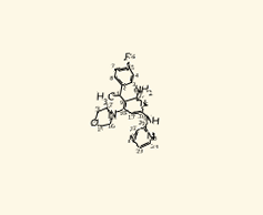 CC(c1ccc(F)cc1)c1c(N2CCOCC2)cc(Nc2cnccn2)nc1N